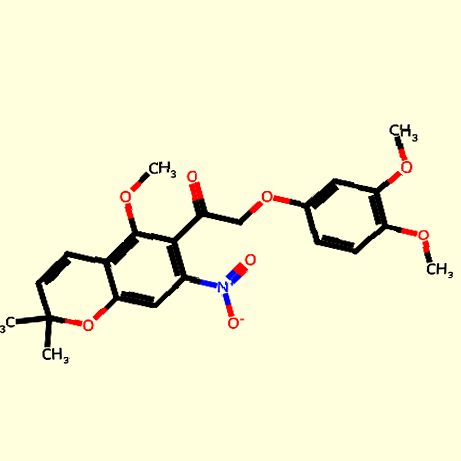 COc1ccc(OCC(=O)c2c([N+](=O)[O-])cc3c(c2OC)C=CC(C)(C)O3)cc1OC